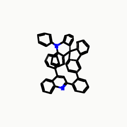 c1ccc(-c2cc(-c3ccccc3-c3ccc4c(c3)-c3ccccc3C43c4ccccc4N(c4ccccc4)c4ccccc43)nc3ccccc23)cc1